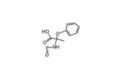 CC(NP=O)(Oc1ccccc1)C(=O)O